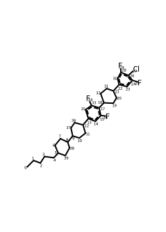 CCCCCC1CCC(C2CCC(c3cc(F)c(C4CCC(c5cc(F)c(Cl)c(F)c5)CC4)c(F)c3)CC2)CC1